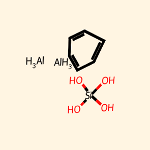 O[Si](O)(O)O.[AlH3].[AlH3].c1ccccc1